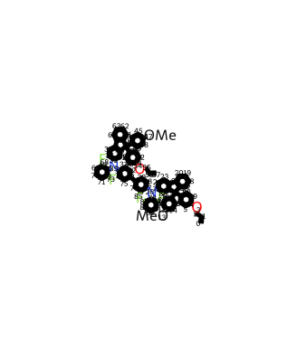 C=CCOc1ccc(C2(c3ccc(OC)cc3)c3ccccc3-c3ccc(N(c4ccc(-c5ccc(N(c6ccc7c(c6)C(c6ccc(OC)cc6)(c6ccc(OCC=C)cc6)c6ccccc6-7)c6c(F)cccc6F)cc5)cc4)c4c(F)cccc4F)cc32)cc1